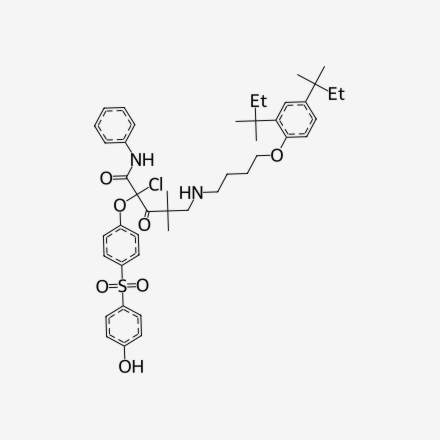 CCC(C)(C)c1ccc(OCCCCNCC(C)(C)C(=O)C(Cl)(Oc2ccc(S(=O)(=O)c3ccc(O)cc3)cc2)C(=O)Nc2ccccc2)c(C(C)(C)CC)c1